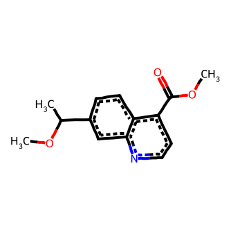 COC(=O)c1ccnc2cc(C(C)OC)ccc12